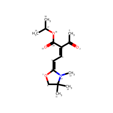 CC(=O)C(=CC=C1OCC(C)(C)N1C)C(=O)OC(C)C